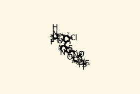 Cc1cc(Cl)cc(-c2ccnc3cc(Cn4c(=O)ccn(CC(F)(F)F)c4=O)sc23)c1O[C@@H]1CNC[C@@H]1F